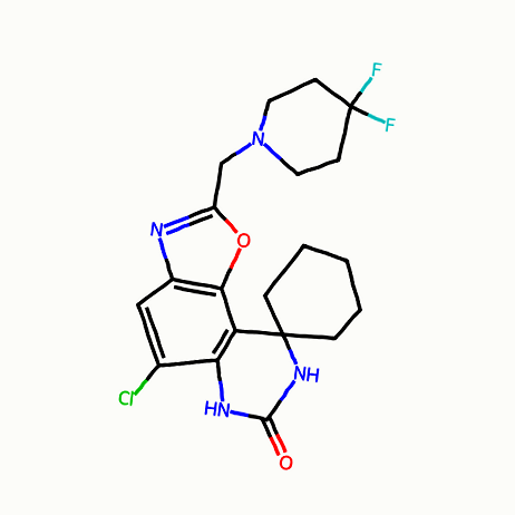 O=C1Nc2c(Cl)cc3nc(CN4CCC(F)(F)CC4)oc3c2C2(CCCCC2)N1